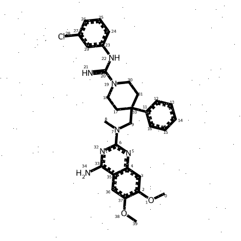 COc1cc2nc(N(C)CC3(c4ccccc4)CCN(C(=N)Nc4cccc(Cl)c4)CC3)nc(N)c2cc1OC